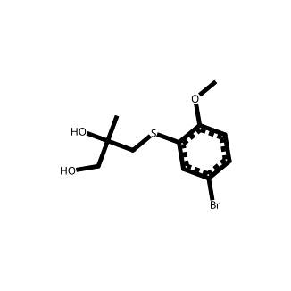 COc1ccc(Br)cc1SCC(C)(O)CO